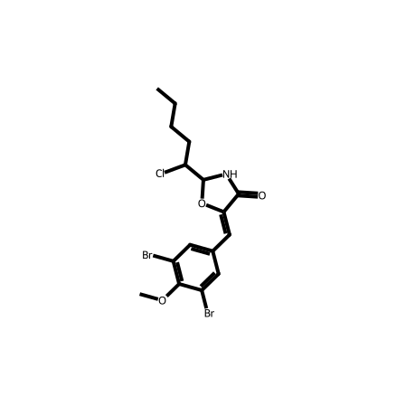 CCCCC(Cl)C1NC(=O)/C(=C/c2cc(Br)c(OC)c(Br)c2)O1